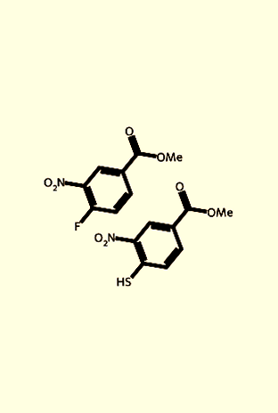 COC(=O)c1ccc(F)c([N+](=O)[O-])c1.COC(=O)c1ccc(S)c([N+](=O)[O-])c1